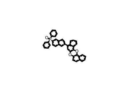 O=P(c1ccccc1)(c1ccccc1)c1ccc2cc(-c3cc4c(c5ccccc35)Oc3c(ccc5ccccc35)O4)ccc2c1